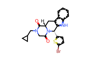 O=C1[C@@H]2Cc3c([nH]c4ccccc34)[C@H](c3ccc(Br)s3)N2C(=O)CN1CC1CC1